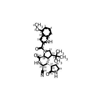 COc1cccc2[nH]c(C(=O)N3CC(C(C)(C)C)C[C@H]3C(=O)N[C@H](C#N)C[C@@H]3CCNC3=O)cc12